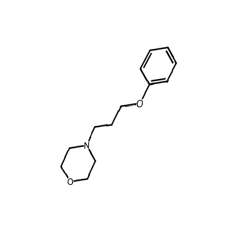 c1ccc(OCCCN2CCOCC2)cc1